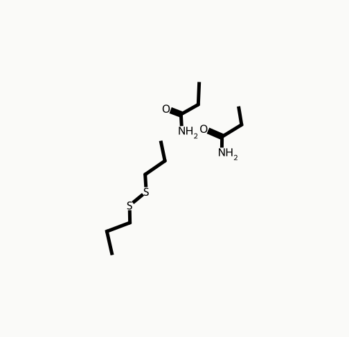 CCC(N)=O.CCC(N)=O.CCCSSCCC